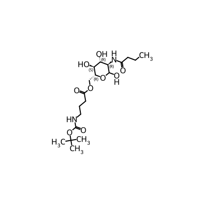 CCCC(=O)N[C@H]1C(O)O[C@H](COC(=O)CCCNC(=O)OC(C)(C)C)[C@@H](O)[C@@H]1O